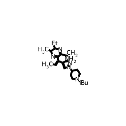 C=C(N)C1=NC(CC)C(C)N=C1/C(=C\C)c1cnn(C2CCN(C(C)CC)CC2)c1